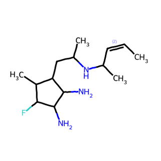 C/C=C\C(C)NC(C)CC1C(C)C(F)C(N)C1N